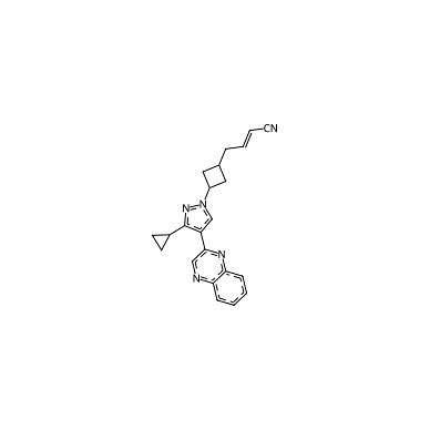 N#CC=CCC1CC(n2cc(-c3cnc4ccccc4n3)c(C3CC3)n2)C1